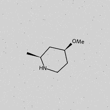 CO[C@H]1CCN[C@@H](C)C1